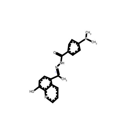 C/C(=N\NC(=O)c1ccc(N(C)C)cc1)c1ccc(O)c2ncccc12